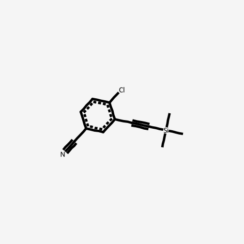 C[Si](C)(C)C#Cc1cc(C#N)ccc1Cl